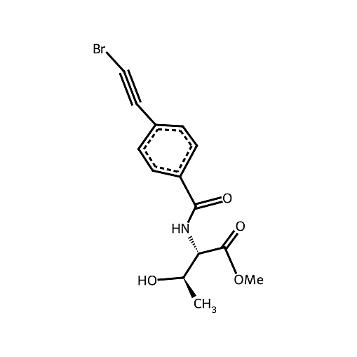 COC(=O)[C@@H](NC(=O)c1ccc(C#CBr)cc1)[C@@H](C)O